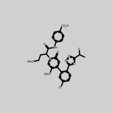 COCCC(C(=O)Nc1ccc(C(=O)O)cc1)n1cc(OC)c(-c2cc(Cl)ccc2-c2nnc(C(F)F)o2)cc1=O